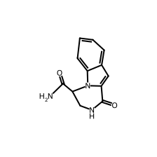 NC(=O)C1CNC(=O)c2cc3ccccc3n21